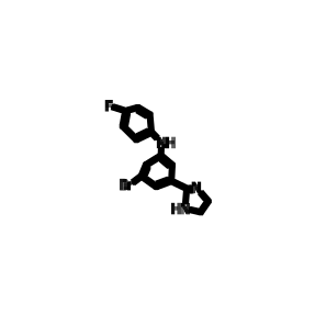 Fc1ccc(Nc2cc(Br)cc(C3=NCCN3)c2)cc1